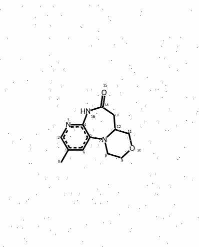 Cc1cnc2c(c1)N1CCOCC1CC(=O)N2